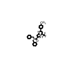 Cc1ccc(-c2cc(C(F)(F)F)n3nc(C(=O)N(Cc4ccccc4)Cc4ccccc4)cc3n2)cc1